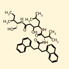 CCC(C)[C@@H](CO)NC(=O)CC(O)C(CC(C)C)NC(=O)[C@@H](NC(=O)C(Cc1cccc2ccccc12)Cc1cccc2ccccc12)C(C)C